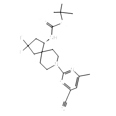 Cc1cc(C#N)nc(N2CCC3(CC2)CC(F)(F)C[C@H]3NC(=O)OC(C)(C)C)n1